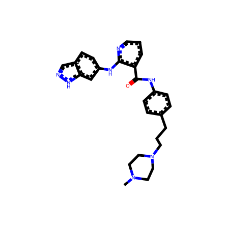 CN1CCN(CCCc2ccc(NC(=O)c3cccnc3Nc3ccc4cn[nH]c4c3)cc2)CC1